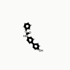 O=C(Nc1ccc(-c2ccc(O)cc2)cc1)Oc1ccccc1